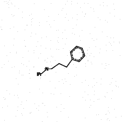 CC(C)[N]CCCc1ccccc1